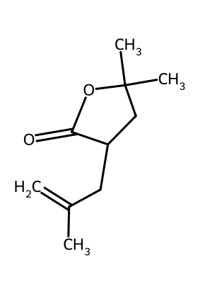 C=C(C)CC1CC(C)(C)OC1=O